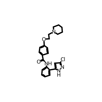 O=C(Nc1ccccc1-c1cc(Cl)n[nH]1)c1ccc(OCCN2CCCCC2)cc1